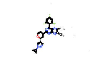 Cc1nc2nc(C3CCO[C@@H](c4cnn(C5CC5)c4)C3)nc(-c3c(F)cc(F)cc3F)c2nc1C